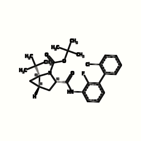 CC(C)(C)OC(=O)N1[C@H](C(=O)Nc2cccc(-c3ccccc3Cl)c2F)C[C@@H]2C[C@]21C(C)(C)C